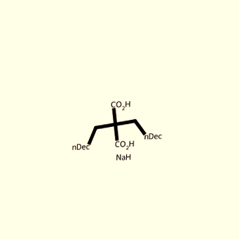 CCCCCCCCCCCC(CCCCCCCCCCC)(C(=O)O)C(=O)O.[NaH]